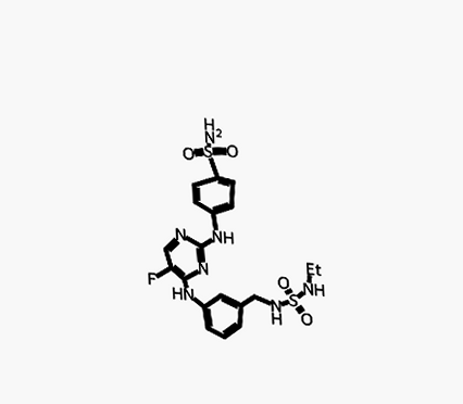 CCNS(=O)(=O)NCc1cccc(Nc2nc(Nc3ccc(S(N)(=O)=O)cc3)ncc2F)c1